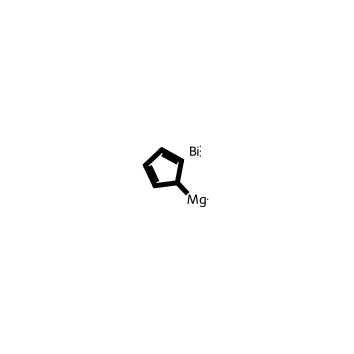 [Bi].[Mg][CH]1C=CC=C1